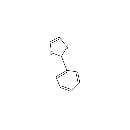 [c]1ccc(C2SC=CS2)cc1